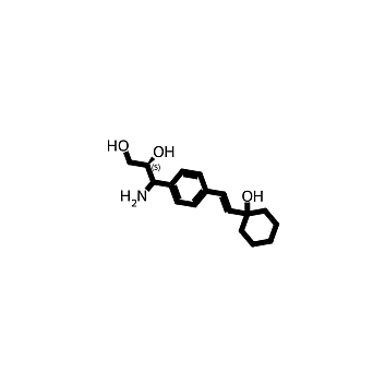 NC(c1ccc(C=CC2(O)CCCCC2)cc1)[C@H](O)CO